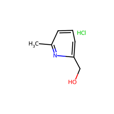 Cc1cccc(CO)n1.Cl